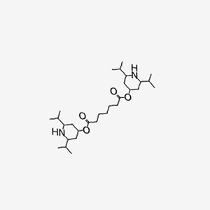 CC(C)C1CC(OC(=O)CCCCCC(=O)OC2CC(C(C)C)NC(C(C)C)C2)CC(C(C)C)N1